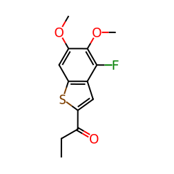 CCC(=O)c1cc2c(F)c(OC)c(OC)cc2s1